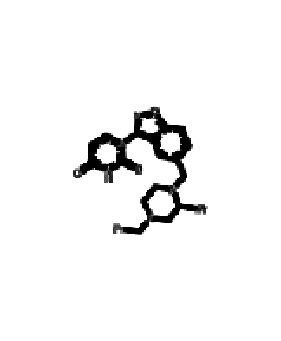 CC(C)CN1CCN(Cc2ccc3onc(-n4ccc(=O)[nH]c4=O)c3c2)C(C(C)C)C1